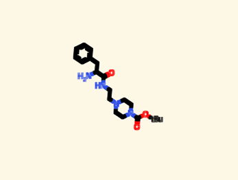 CC(C)(C)OC(=O)N1CCN(CCNC(=O)C(N)Cc2ccccc2)CC1